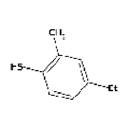 CCc1ccc(S)c(C)c1